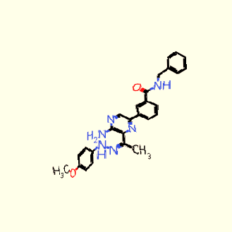 COc1ccc(NN=C(C)c2nc(-c3cccc(C(=O)NCc4ccccc4)c3)cnc2N)cc1